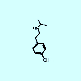 CC(C)NCCc1ccc(O)cc1